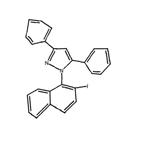 Ic1ccc2ccccc2c1-n1nc(-c2ccccc2)cc1-c1ccccc1